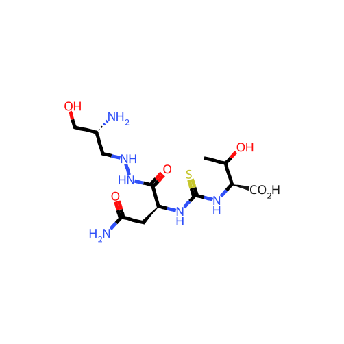 CC(O)[C@H](NC(=S)N[C@@H](CC(N)=O)C(=O)NNC[C@@H](N)CO)C(=O)O